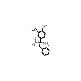 COc1ccc(C(N)(Cc2ccccc2)[N+](=O)[O-])cc1OC